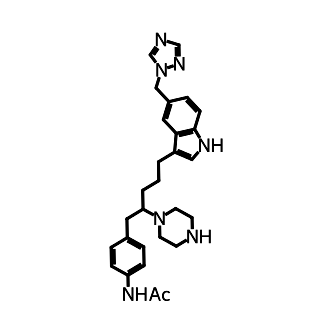 CC(=O)Nc1ccc(CC(CCCc2c[nH]c3ccc(Cn4cncn4)cc23)N2CCNCC2)cc1